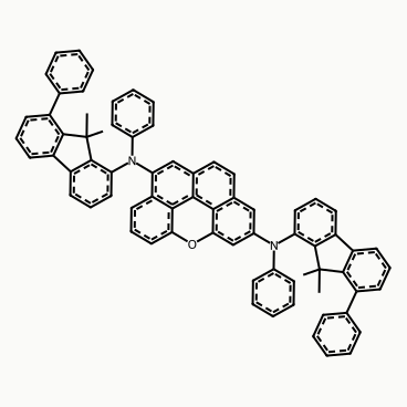 CC1(C)c2c(-c3ccccc3)cccc2-c2cccc(N(c3ccccc3)c3cc4c5c(ccc6cc(N(c7ccccc7)c7cccc8c7C(C)(C)c7c(-c9ccccc9)cccc7-8)c7cccc(c7c65)O4)c3)c21